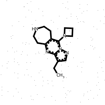 CCc1cnn2c(N3CCC3)c3c(nc12)CCNCC3